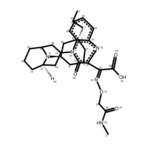 CCC[C@@H]1CCC[C@@H](N2C3CCC[C@@H]2CC(n2c(=O)c(/C(=N/OCC(=O)NC)C(=O)O)nc4ccccc42)C3)C1